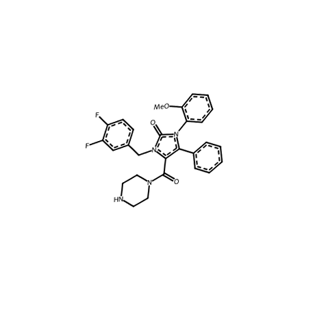 COc1ccccc1-n1c(-c2ccccc2)c(C(=O)N2CCNCC2)n(Cc2ccc(F)c(F)c2)c1=O